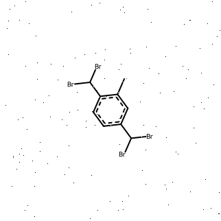 [CH2]c1cc(C(Br)Br)ccc1C(Br)Br